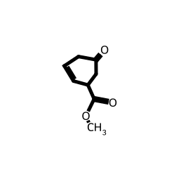 COC(=O)C1C=CCC(=O)C1